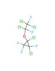 FC(Cl)(Cl)C(F)(Cl)OC1(Cl)C(F)(F)C1(F)Cl